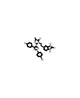 CC1O[C@@H](c2nn(-c3ccc(Br)cc3)nc2-c2ccc(F)cc2)N(CCc2ccc3[nH]c(=O)[nH]c3c2)C1=O